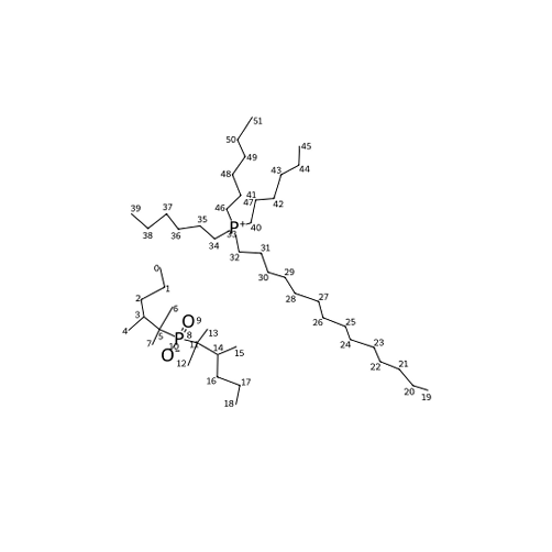 CCCC(C)C(C)(C)P(=O)([O-])C(C)(C)C(C)CCC.CCCCCCCCCCCCCC[P+](CCCCCC)(CCCCCC)CCCCCC